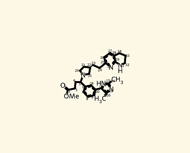 COC(=O)CCC(c1cccc(-c2[nH]c(C)nc2C)c1)N1CC[C@@H](CCc2ccc3c(n2)NCCC3)C1